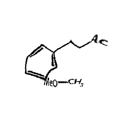 CC(=O)CCc1ccccc1.COC